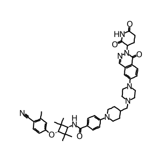 Cc1cc(O[C@H]2C(C)(C)[C@H](NC(=O)c3ccc(N4CCC(CN5CCN(c6ccc7c(=O)n(C8CCC(=O)NC8=O)ncc7c6)CC5)CC4)cc3)C2(C)C)ccc1C#N